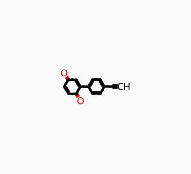 C#Cc1ccc(C2=CC(=O)C=CC2=O)cc1